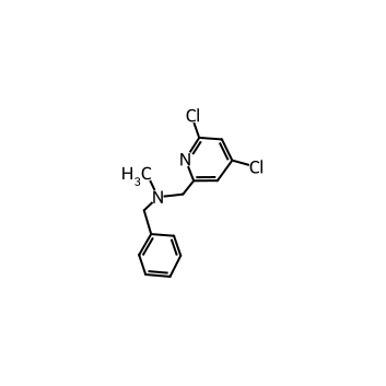 CN(Cc1ccccc1)Cc1cc(Cl)cc(Cl)n1